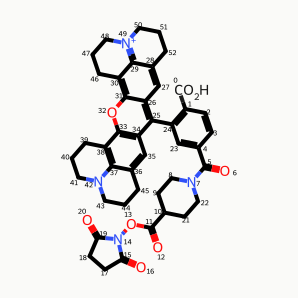 O=C(O)c1ccc(C(=O)N2CCC(C(=O)ON3C(=O)CCC3=O)CC2)cc1C1=c2cc3c4c(c2Oc2c1cc1c5c2CCCN5CCC1)CCC[N+]=4CCC3